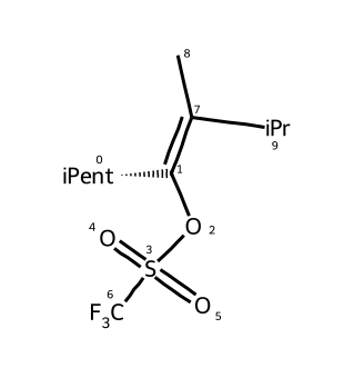 CCC[C@@H](C)/C(OS(=O)(=O)C(F)(F)F)=C(\C)C(C)C